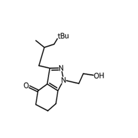 CC(Cc1nn(CCO)c2c1C(=O)CCC2)CC(C)(C)C